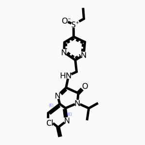 C=C(Cl)/N=C1\C(=C/C)N=C(NCc2ncc([S+]([O-])CC)cn2)C(=O)N1C(C)C